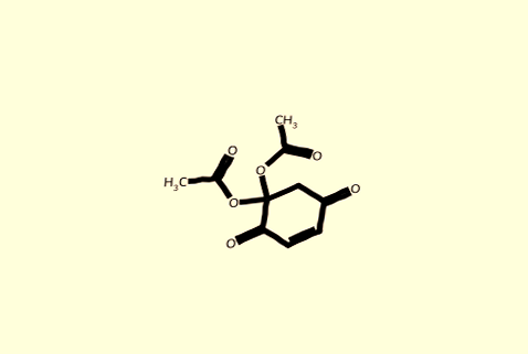 CC(=O)OC1(OC(C)=O)CC(=O)C=CC1=O